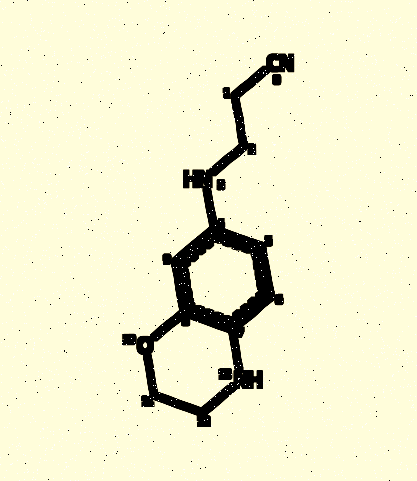 N#CCCNc1ccc2c(c1)OCCN2